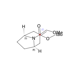 CO/C=C1\C[C@H]2CC[C@@H](C1)N2C(=O)OC(C)(C)C